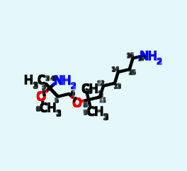 COC(C)(N)CCOC(C)(C)CCCCCCN